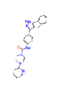 O=C(Nc1ccc(-c2n[nH]c3c2Cc2ccccc2-3)cc1)N1CCN(c2ccccn2)CC1